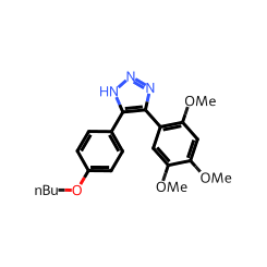 CCCCOc1ccc(-c2[nH]nnc2-c2cc(OC)c(OC)cc2OC)cc1